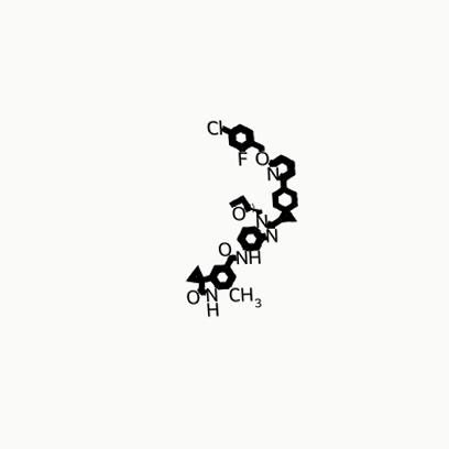 Cc1cc(C(=O)Nc2ccc3c(c2)nc(C2CC24CCC(c2cccc(OCc5ccc(Cl)cc5F)n2)CC4)n3C[C@@H]2CCO2)cc2c1NC(=O)C21CC1